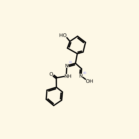 O=C(N/N=C(\C=N\O)c1cccc(O)c1)c1ccccc1